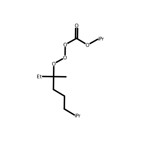 CCC(C)(CCCC(C)C)OOOC(=O)OC(C)C